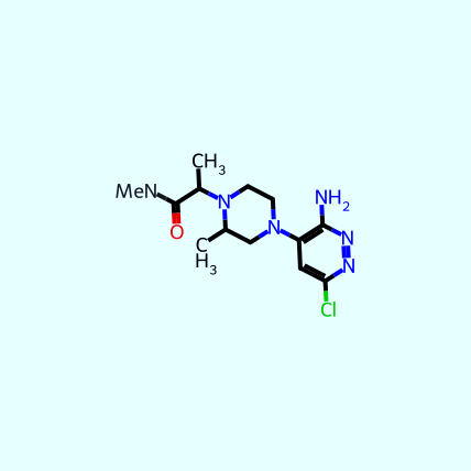 CNC(=O)C(C)N1CCN(c2cc(Cl)nnc2N)CC1C